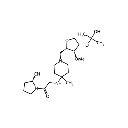 CO[C@@H]1[C@@H](OC(C)(C)O)CO[C@@H]1CN1CCC(C)(NCC(=O)N2CCC[C@H]2C#N)CC1